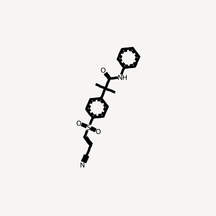 CC(C)(C(=O)Nc1ccccc1)c1ccc(S(=O)(=O)C=CC#N)cc1